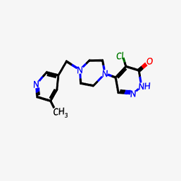 Cc1cncc(CN2CCN(c3cn[nH]c(=O)c3Cl)CC2)c1